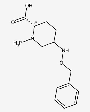 O=C(O)[C@@H]1CCC(NOCc2ccccc2)CN1P